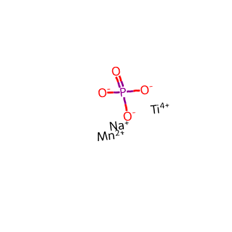 O=P([O-])([O-])[O-].[Mn+2].[Na+].[Ti+4]